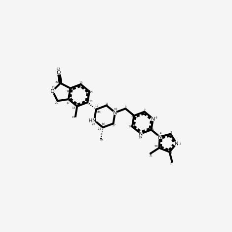 Cc1ncn(-c2ncc(CN3C[C@@H](c4ccc5c(c4C)COC5=O)N[C@@H](C)C3)cn2)c1C